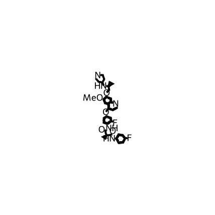 COc1cc2c(Oc3ccc(NC(=O)C4(C(=O)Nc5ccc(F)cc5)CC4)c(F)c3)ccnc2cc1OCC1(NC2CCN(C)CC2)CC1